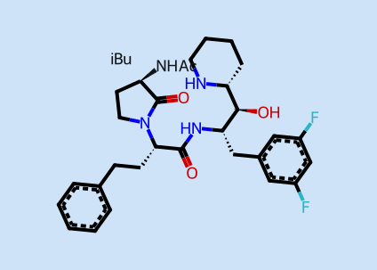 CC[C@H](C)[C@@]1(NC(C)=O)CCN([C@@H](CCc2ccccc2)C(=O)N[C@@H](Cc2cc(F)cc(F)c2)[C@H](O)[C@H]2CCCCN2)C1=O